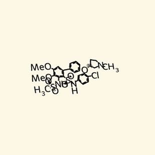 COc1cc(-c2ccccc2)c(S(=O)(=O)Nc2ccc(Cl)c(O[C@@H]3CCN(C)C3)c2)c(NS(C)(=O)=O)c1OC